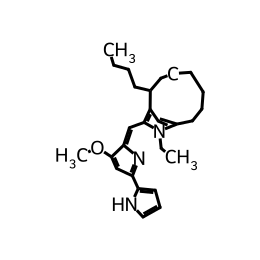 CCCCC1CCCCCCc2cc1c(C=C1N=C(c3ccc[nH]3)C=C1OC)n2CC